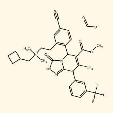 COC(=O)C1=C(C)N(c2cccc(C(F)(F)F)c2)c2n[nH]c(=O)n2C1c1ccc(C#N)cc1CC[N+](C)(C)CC1CCC1.O=C[O-]